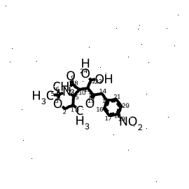 CC1COC(C)(C)N2C(=O)C(C(C(=O)Cc3ccc([N+](=O)[O-])cc3)C(O)O)C12